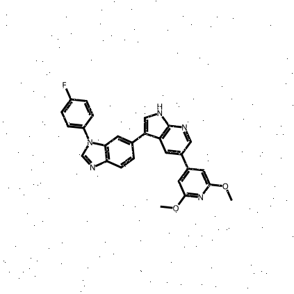 COc1cc(-c2cnc3[nH]cc(-c4ccc5ncn(-c6ccc(F)cc6)c5c4)c3c2)cc(OC)n1